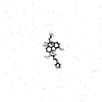 C=CCN1CC[C@]23c4c5ccc(O)c4O[C@H]2[C@H](N(C)C(=O)/C=C/c2ccoc2)CC[C@@]3(O)[C@H]1C5